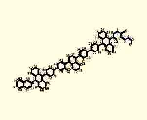 C=C(/C=C\C=C/C)/C=C\C(=C)c1c2ccccc2c(-c2ccc(-c3ccc4c(c3)Sc3ccc5c6c(ccc-4c36)-c3ccc(-c4ccc(-c6c7ccccc7c(-c7ccc8ccccc8c7)c7ccccc67)cc4)cc3S5)cc2)c2ccccc12